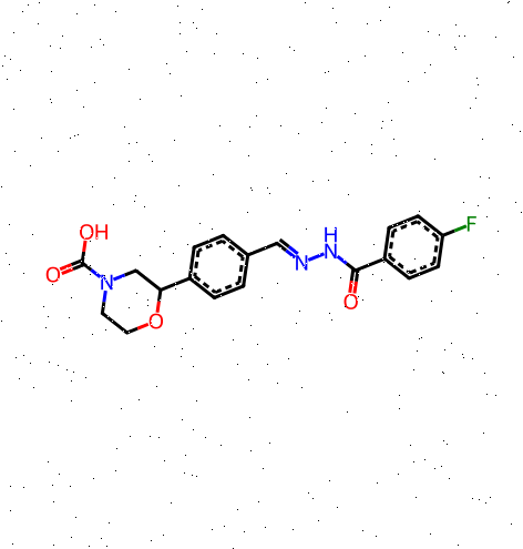 O=C(NN=Cc1ccc(C2CN(C(=O)O)CCO2)cc1)c1ccc(F)cc1